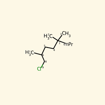 CCCC(C)(C)CCC(C)CCl